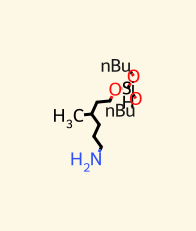 CCCCO[SiH](OCCCC)OCCC(C)CCCN